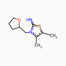 Cc1sc(=N)n(CC2CCCO2)c1C